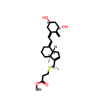 C=C1C(=CC=C2CCC[C@]3(C)C([C@H](C)SCCC(=O)OC(C)(C)C)=CC[C@@H]23)C[C@@H](O)C[C@@H]1O